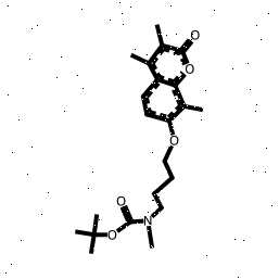 Cc1c(C)c2ccc(OCCCCN(C)C(=O)OC(C)(C)C)c(C)c2oc1=O